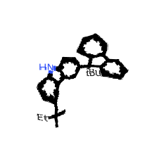 CCC(C)(C)c1ccc2[nH]c3ccc(C4(C(C)(C)C)c5ccccc5-c5ccccc54)cc3c2c1